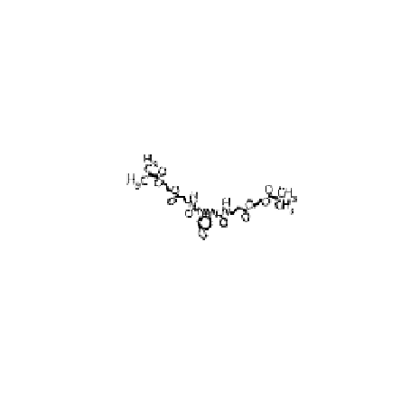 CC(C)C(=O)OCCOC(=O)CCNC(=O)NC1CC2OC2CC1NC(=O)NCCC(=O)OCCOC(=O)C(C)C